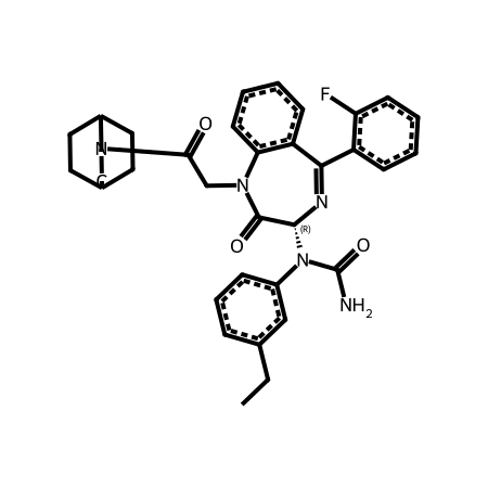 CCc1cccc(N(C(N)=O)[C@H]2N=C(c3ccccc3F)c3ccccc3N(CC(=O)N3CC4CCC(CC4)C3)C2=O)c1